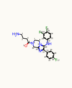 NCCCC(=O)N1CCn2c(nc(-c3ccc(F)cc3)c2Nc2ccc(F)c(F)c2)C1